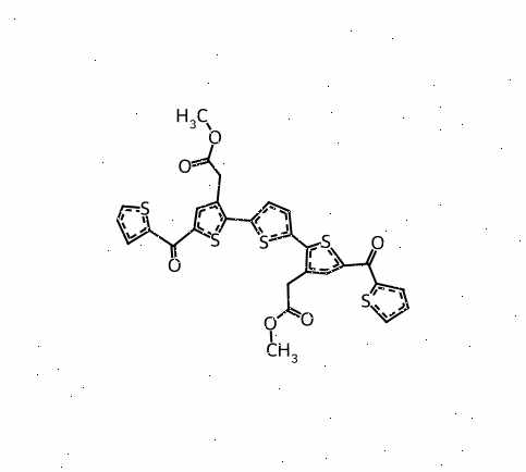 COC(=O)Cc1cc(C(=O)c2cccs2)sc1-c1ccc(-c2sc(C(=O)c3cccs3)cc2CC(=O)OC)s1